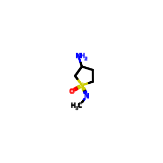 CN=S1(=O)CCC(N)C1